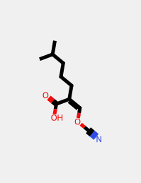 CC(C)CCCC(=COC#N)C(=O)O